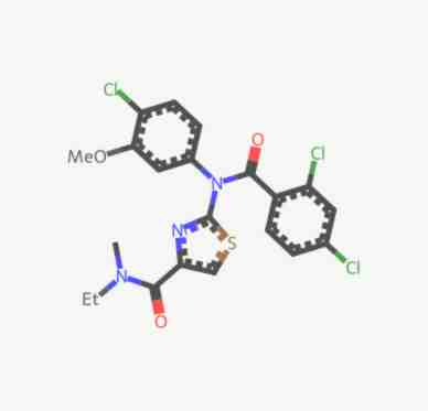 CCN(C)C(=O)c1csc(N(C(=O)c2ccc(Cl)cc2Cl)c2ccc(Cl)c(OC)c2)n1